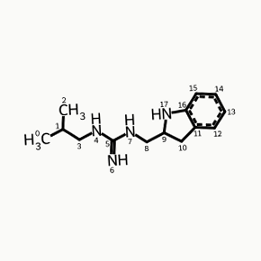 CC(C)CNC(=N)NCC1Cc2ccccc2N1